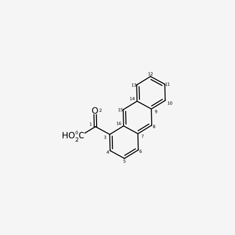 O=C(O)C(=O)c1cccc2cc3ccccc3cc12